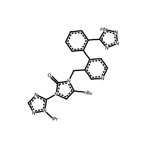 CCCCc1cn(-c2ncnn2C(C)C)c(=O)n1Cc1cnccc1-c1ccccc1-c1nnn[nH]1